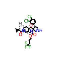 CN(C(=O)OCCCC(F)(F)F)[C@]1(C(=O)C2CCN(C(=O)C3(C)CC3)CC2)CNC[C@H]1c1ccc(Cl)c(Cl)c1